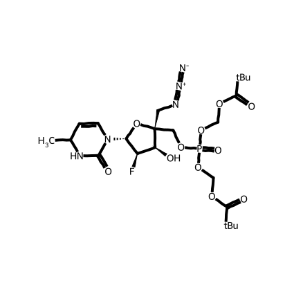 CC1C=CN([C@@H]2O[C@](CN=[N+]=[N-])(COP(=O)(OCOC(=O)C(C)(C)C)OCOC(=O)C(C)(C)C)[C@@H](O)[C@H]2F)C(=O)N1